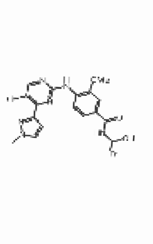 COc1cc(C(=O)NC(O)C(C)C)ccc1Nc1ncc(Cl)c(-c2ccn(C)n2)n1